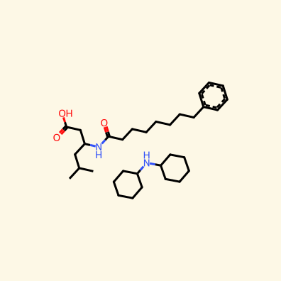 C1CCC(NC2CCCCC2)CC1.CC(C)CC(CC(=O)O)NC(=O)CCCCCCCc1ccccc1